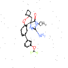 CN1C(=O)C2(CC3(CCC3)Oc3ccc(-c4cccc(OC(F)F)c4)cc32)N=C1N